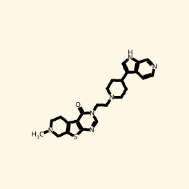 CN1CCc2c(sc3ncn(CCN4CCC(c5c[nH]c6cnccc56)CC4)c(=O)c23)C1